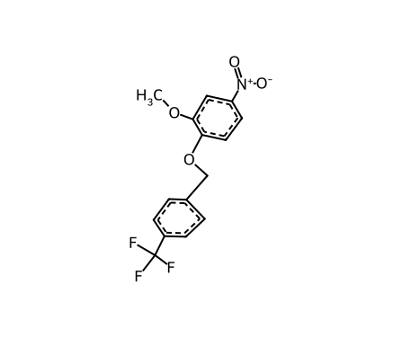 COc1cc([N+](=O)[O-])ccc1OCc1ccc(C(F)(F)F)cc1